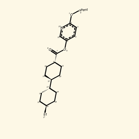 CCCCCOc1ccc(OC(=O)[C@H]2CC[C@H]([C@H]3CC[C@H](CC)CC3)CC2)cn1